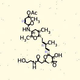 CC(=O)O[C@@H](C)/C=C\C(=O)N[C@@H]1C[C@H](C)[C@H](C/C=C(C)/C=C/[C@H]2O[C@H](CC(=O)NCCO)C[C@@]3(CO3)[C@@H]2O)O[C@@H]1C